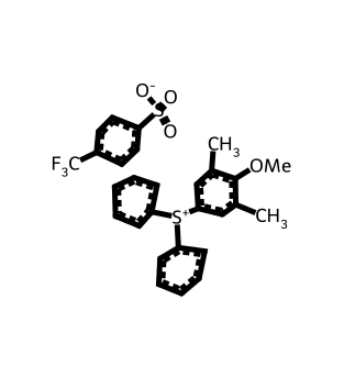 COc1c(C)cc([S+](c2ccccc2)c2ccccc2)cc1C.O=S(=O)([O-])c1ccc(C(F)(F)F)cc1